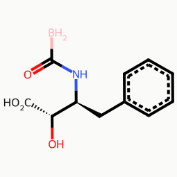 BC(=O)N[C@@H](Cc1ccccc1)[C@H](O)C(=O)O